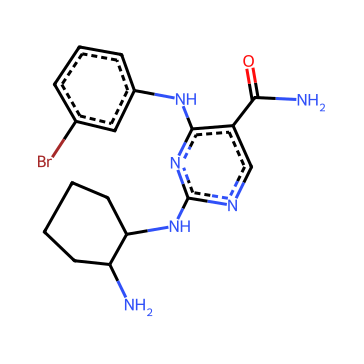 NC(=O)c1cnc(NC2CCCCC2N)nc1Nc1cccc(Br)c1